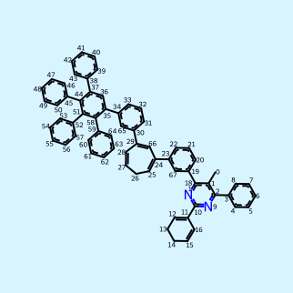 Cc1c(-c2ccccc2)nc(C2=CCCC=C2)nc1-c1cccc(C2=CCC=CC(c3cccc(-c4cc(-c5ccccc5)c(-c5ccccc5)c(-c5ccccc5)c4-c4ccccc4)c3)=C2)c1